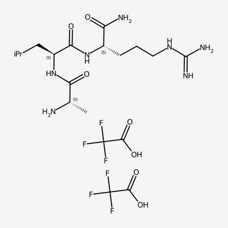 CC(C)C[C@H](NC(=O)[C@H](C)N)C(=O)N[C@@H](CCCNC(=N)N)C(N)=O.O=C(O)C(F)(F)F.O=C(O)C(F)(F)F